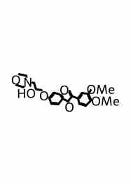 COc1ccc(-c2coc3cc(OCC(O)CN4CCOCC4)ccc3c2=O)cc1OC